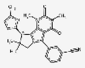 Cc1csc([C@H]2c3c4c(c(-c5cccc(C#N)c5)n3CC2(C)C)c(=O)n(C)c(=O)n4C)n1